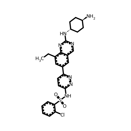 CCc1cc(-c2ccc(NS(=O)(=O)c3ccccc3Cl)nn2)cc2cnc(N[C@H]3CC[C@H](N)CC3)nc12